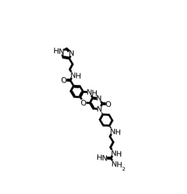 N=C(N)NCCCN[C@H]1CC[C@H](n2cc3c(nc2=O)Nc2cc(C(=O)NCCc4c[nH]cn4)ccc2O3)CC1